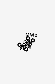 COc1ccc(N(C(=O)c2ccccc2)C(=O)c2c(OC(=O)c3ccccc3)c3c(Cl)cccc3n(C)c2=O)cc1